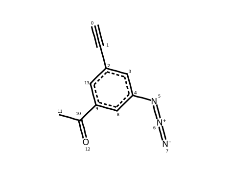 C#Cc1cc(N=[N+]=[N-])cc(C(C)=O)c1